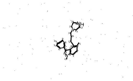 Cc1ccc2c(c(-c3ccccc3)nn2C)c1CCCN1CCNCC1